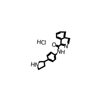 Cl.O=C(Nc1ccc(C2CCNC2)cc1)c1nccc2ccccc12